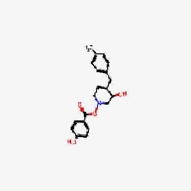 Cc1ccc(CC2CCN(OC(=O)c3ccc(O)cc3)CC2O)cc1